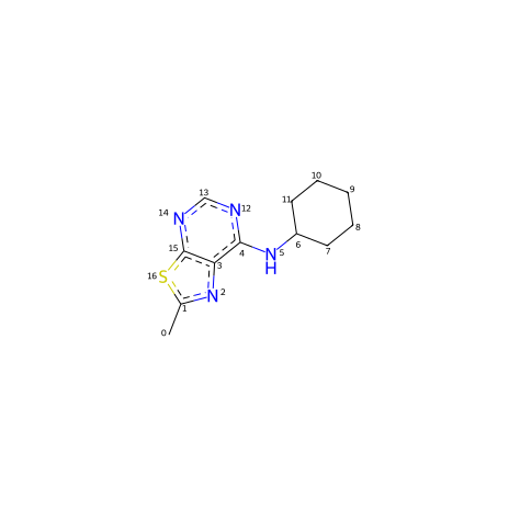 Cc1nc2c(NC3CCCCC3)ncnc2s1